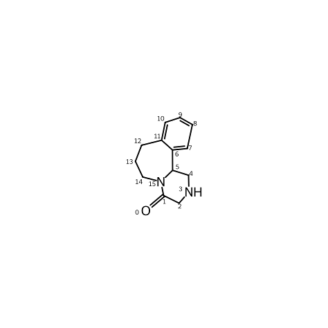 O=C1CNCC2c3ccccc3CCCN12